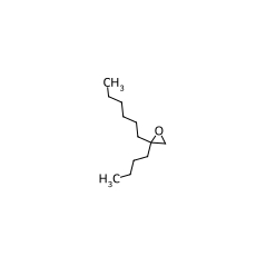 CCCCCCC1(CCCC)CO1